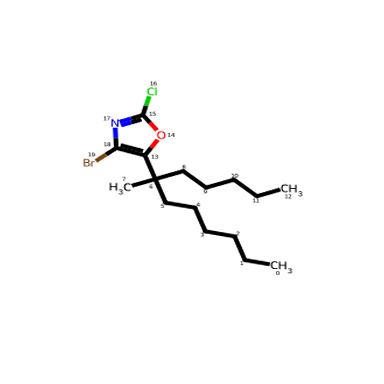 CCCCCCC(C)(CCCCC)c1oc(Cl)nc1Br